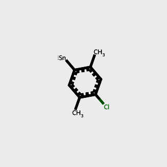 Cc1c[c]([Sn])c(C)cc1Cl